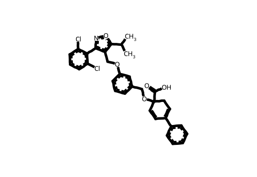 CC(C)c1onc(-c2c(Cl)cccc2Cl)c1COc1cccc(COC2(C(=O)O)C=CC(c3ccccc3)=CC2)c1